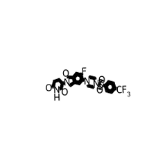 O=C1CCC(N2Cc3cc(N4CCN(S(=O)(=O)c5ccc(C(F)(F)F)cc5)CC4)c(F)cc3C2=O)C(=O)N1